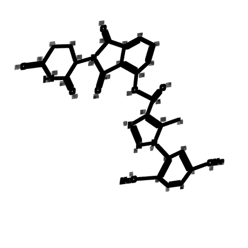 COc1ccc(OC)c(-n2nnc(C(=O)Oc3cccc4c3C(=O)N(C3CCC(=O)NC3=O)C4=O)c2C)c1